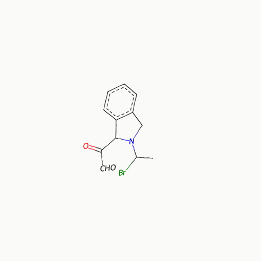 CC(Br)N1Cc2ccccc2C1C(=O)C=O